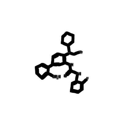 CC(C)CN(c1ccc(-c2ccccc2C(=O)O)cc1NC(=O)Nc1ccccc1F)C1CCCCC1